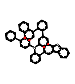 c1ccc(-c2ccc(N(c3cccc(-c4ccccc4-c4cccc5ccccc45)c3)c3ccccc3-c3ccc4sc5ccccc5c4c3)cc2)cc1